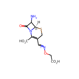 NC1C(=O)N2C(C(=O)O)=C(/C=N/OCC(=O)O)CS[C@H]12